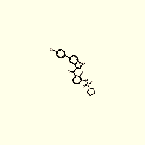 O=C(c1cccc(NS(=O)(=O)N2CCCC2)c1F)c1c[nH]c2ncc(-c3ccc(Cl)cc3)cc12